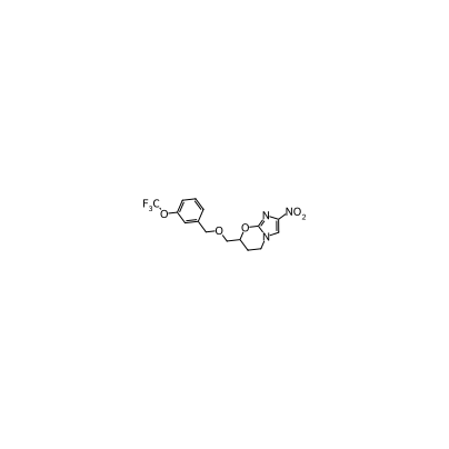 O=[N+]([O-])c1cn2c(n1)OC(COCc1cccc(OC(F)(F)F)c1)CC2